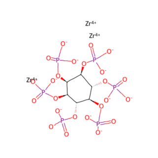 O=P([O-])([O-])O[C@H]1[C@H](OP(=O)([O-])[O-])[C@@H](OP(=O)([O-])[O-])[C@H](OP(=O)([O-])[O-])[C@@H](OP(=O)([O-])[O-])[C@H]1OP(=O)([O-])[O-].[Zr+4].[Zr+4].[Zr+4]